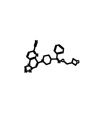 N#Cc1ccc2c(n1)c(N1CCC(/C(=N/OCC3COC3)c3ccccc3)CC1)cc1nncn12